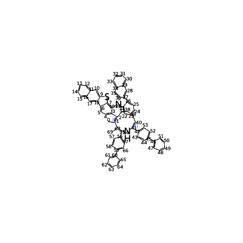 C/C1=C(\c2ccc3c(sc4cc5ccccc5cc43)c2-n2c3ccccc3c3cc4ccccc4cc32)CCC/C=C(/c2ccc(-c3ccccc3)cc2)NC(c2ccc(-c3ccccc3)cc2)C1C